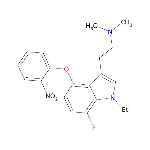 CCn1cc(CCN(C)C)c2c(Oc3ccccc3[N+](=O)[O-])ccc(F)c21